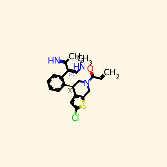 C=CC(=O)N1Cc2sc(Cl)cc2[C@@H](c2ccccc2/C(=C/NC)C(C)=N)C1